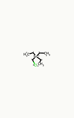 C[CH2][Sn]([CH2]C)([CH2]C)[CH2]Cl